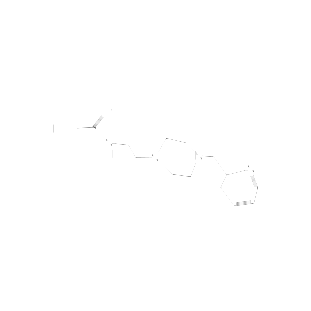 CC(=O)NCCN1CCN(CC2CC=CC=N2)CC1